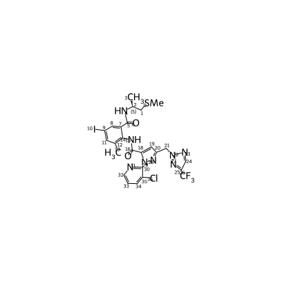 CSC[C@H](C)NC(=O)c1cc(I)cc(C)c1NC(=O)c1cc(Cn2ncc(C(F)(F)F)n2)nn1-c1ncccc1Cl